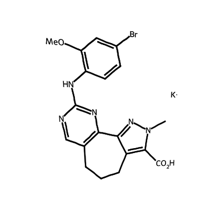 COc1cc(Br)ccc1Nc1ncc2c(n1)-c1nn(C)c(C(=O)O)c1CCC2.[K]